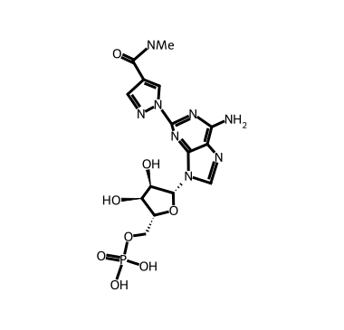 CNC(=O)c1cnn(-c2nc(N)c3ncn([C@@H]4O[C@H](COP(=O)(O)O)[C@@H](O)[C@H]4O)c3n2)c1